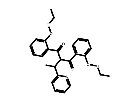 CCOOc1ccccc1C(=O)C(C(=O)c1ccccc1OOCC)C(C)c1ccccn1